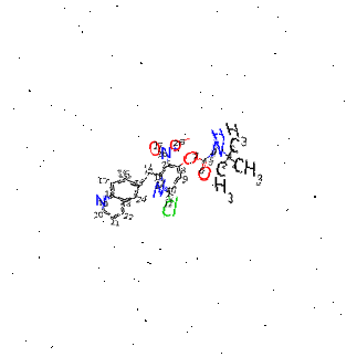 CC(C)(C)NC(=O)Oc1cc(Cl)nc(Cc2ccc3ncccc3c2)c1[N+](=O)[O-]